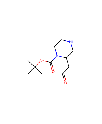 CC(C)(C)OC(=O)N1CCNCC1CC=O